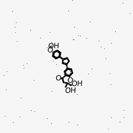 O=C1CC(CO)(CO)Oc2ccc(C3=CC(c4ccc(OO)cc4)=CC3)cc21